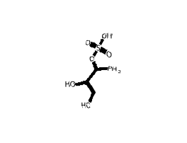 O=S(=O)(O)OC(P)C(O)CO